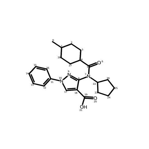 CC1CCC(C(=O)N(c2nn(-c3ccccc3)cc2C(=O)O)C2CCCC2)CC1